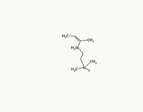 CC=C(C)[SiH2]CC[Si](C)(C)I